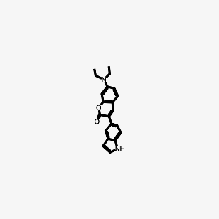 CCN(CC)c1ccc2cc(-c3ccc4[nH]ccc4c3)c(=O)oc2c1